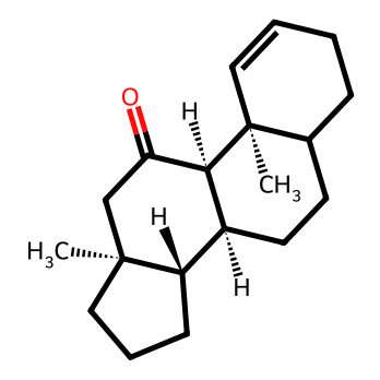 C[C@@]12CCC[C@H]1[C@@H]1CCC3CCC=C[C@]3(C)[C@@H]1C(=O)C2